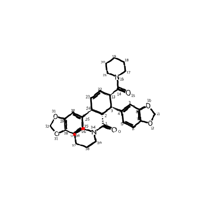 O=C([C@H]1[C@H](c2ccc3c(c2)OCO3)[C@H](C(=O)N2CCCCC2)C=C[C@@H]1c1ccc2c(c1)OCO2)N1CCCCC1